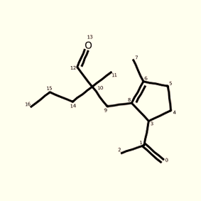 C=C(C)C1CCC(C)=C1CC(C)(C=O)CCC